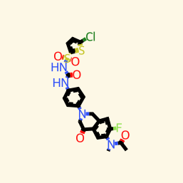 CC(=O)N(C)c1cc2c(cc1F)CN(c1ccc(NC(=O)NS(=O)(=O)c3ccc(Cl)s3)cc1)CC2=O